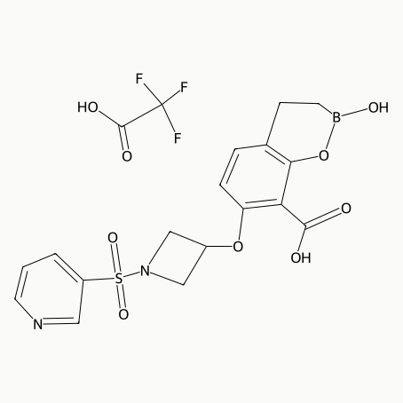 O=C(O)C(F)(F)F.O=C(O)c1c(OC2CN(S(=O)(=O)c3cccnc3)C2)ccc2c1OB(O)CC2